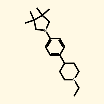 CCN1CCC(c2ccc(B3CC(C)(C)C(C)(C)C3)cc2)CC1